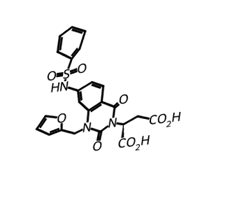 O=C(O)C[C@@H](C(=O)O)n1c(=O)c2ccc(NS(=O)(=O)c3ccccc3)cc2n(Cc2ccco2)c1=O